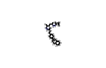 C=C(C=CC(=C)/C=C\C(=C)N(C)C)/C=C\C(=C)C=Cc1ccc(N2CCC3CC=CC=C3C2)cc1